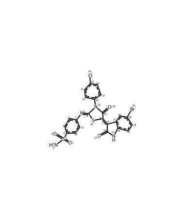 NS(=O)(=O)c1ccc(/N=C2\S/C(=C3\C(=O)Nc4ccc(Br)cc43)C(=O)N2c2ccc(Cl)cc2)cc1